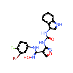 O=C(Nc1nocc1/C(=N/O)Nc1ccc(F)c(Br)c1)Nc1c[nH]c2ccccc12